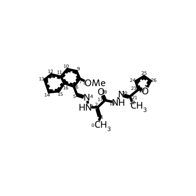 C/C=C(\N/N=C/c1c(OC)ccc2ccccc12)C(=O)N/N=C(\C)c1ccco1